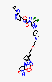 CN(CCCCOCCCCc1cccc2c1n(C)c(=O)n2C1CCC(=O)NC1=O)C[C@H]1CC[C@H](n2cc(NC(=O)c3coc(-c4ccnc(NCC5CC5)c4)n3)c(C(F)F)n2)CC1